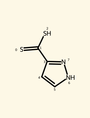 S=C(S)c1cc[nH]n1